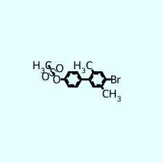 Cc1cc(-c2ccc(OS(C)(=O)=O)cc2)c(C)cc1Br